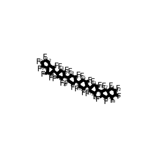 Fc1cc2c(F)c(-c3c(F)c(F)c(-c4c(F)c(F)c(-c5c(F)c(F)c(-c6c(F)c(F)c(-c7c(F)c(F)c8c(F)c(F)c(F)c(F)c8c7F)c(F)c6F)c(F)c5F)c(F)c4F)c(F)c3F)c(F)c(F)c2c(F)c1F